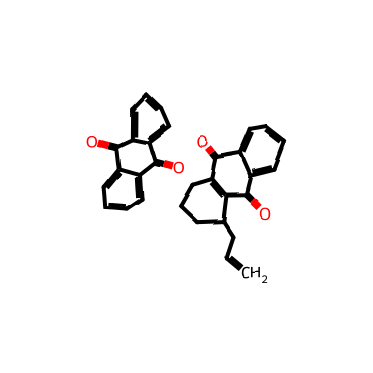 C=CCC1CCCC2=C1C(=O)c1ccccc1C2=O.O=C1c2ccccc2C(=O)c2ccccc21